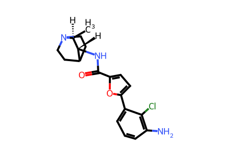 C[C@H]1[C@H](NC(=O)c2ccc(-c3cccc(N)c3Cl)o2)C2CCN1CC2